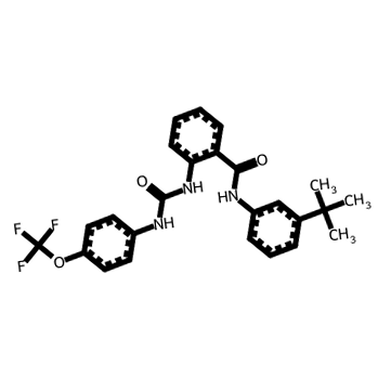 CC(C)(C)c1cccc(NC(=O)c2ccccc2NC(=O)Nc2ccc(OC(F)(F)F)cc2)c1